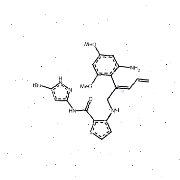 C=C/C=C(/CNc1ccsc1C(=O)Nc1cc(C(C)(C)C)[nH]n1)c1c(N)cc(OC)cc1OC